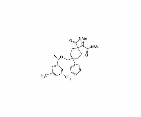 CNC(=O)NC1(C(=O)NC)CCC(CO[C@H](C)c2cc(C(F)(F)F)cc(C(F)(F)F)c2)(c2ccccc2)CC1